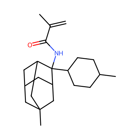 C=C(C)C(=O)NC1(C2CCC(C)CC2)C2CC3CC1CC(C)(C3)C2